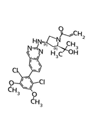 C=CC(=O)N1C[C@H](Nc2ncc3cc(-c4c(Cl)c(OC)cc(OC)c4Cl)ccc3n2)C[C@@H]1C(C)(C)O